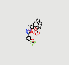 CC1=C[C@]23C(=O)[C@@H](C=C(CO)[C@@H](O)[C@]2(O)[C@H]1n1cc(-c2cccc(OC(F)(F)F)c2)nn1)[C@H]1[C@@H](C[C@H]3C)C1(C)C